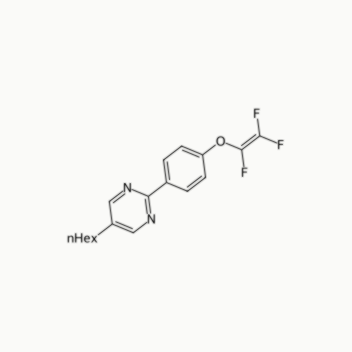 CCCCCCc1cnc(-c2ccc(OC(F)=C(F)F)cc2)nc1